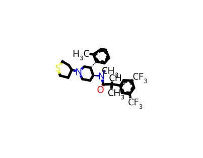 Cc1ccccc1[C@H]1CN(C2CCSCC2)CC[C@@H]1N(C)C(=O)C(C)(C)c1cc(C(F)(F)F)cc(C(F)(F)F)c1